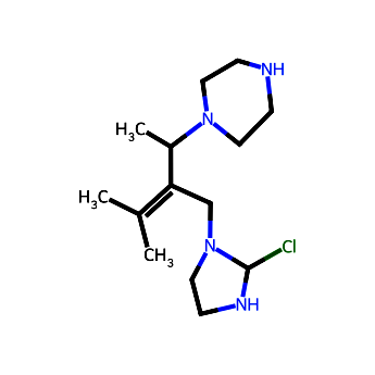 CC(C)=C(CN1CCNC1Cl)C(C)N1CCNCC1